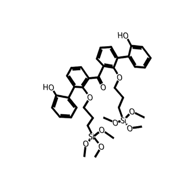 CO[Si](CCCOc1c(C(=O)c2cccc(-c3ccccc3O)c2OCCC[Si](OC)(OC)OC)cccc1-c1ccccc1O)(OC)OC